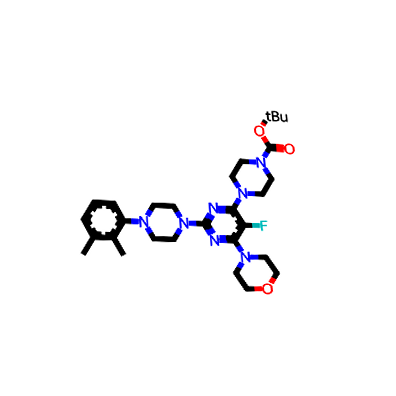 Cc1cccc(N2CCN(c3nc(N4CCOCC4)c(F)c(N4CCN(C(=O)OC(C)(C)C)CC4)n3)CC2)c1C